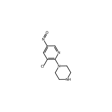 O=Nc1cnc(N2CCNCC2)c(Cl)c1